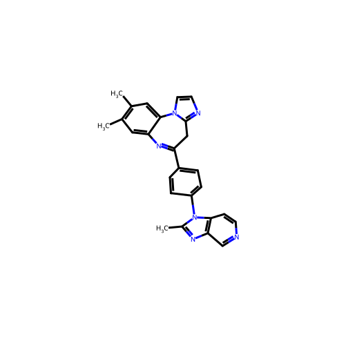 Cc1cc2c(cc1C)-n1ccnc1CC(c1ccc(-n3c(C)nc4cnccc43)cc1)=N2